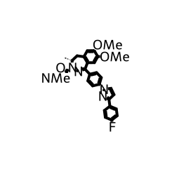 CNC(=O)N1N=C(c2ccc(-n3ccc(-c4ccc(F)cc4)n3)cc2)c2cc(OC)c(OC)cc2C[C@H]1C